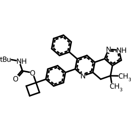 CC(C)(C)NC(=O)OC1(c2ccc(-c3nc4c(cc3-c3ccccc3)-c3n[nH]cc3C(C)(C)C4)cc2)CCC1